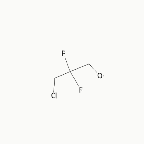 [O]CC(F)(F)CCl